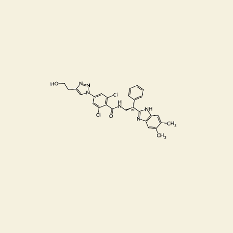 Cc1cc2nc([C@@H](CNC(=O)c3c(Cl)cc(-n4cc(CCO)nn4)cc3Cl)c3ccccc3)[nH]c2cc1C